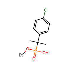 CCOP(=O)(O)C(C)(C)c1ccc(Cl)cc1